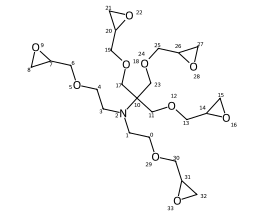 C(CN(CCOCC1CO1)C(COCC1CO1)(COCC1CO1)COCC1CO1)OCC1CO1